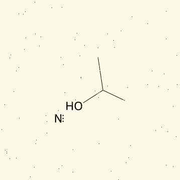 CC(C)O.[N]